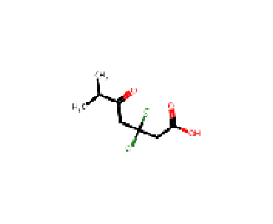 CC(C)C(=O)CC(Cl)(Cl)CC(=O)O